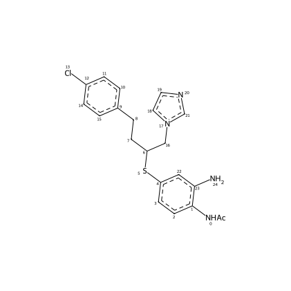 CC(=O)Nc1ccc(SC(CCc2ccc(Cl)cc2)Cn2ccnc2)cc1N